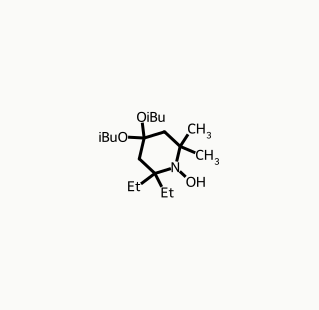 CCC1(CC)CC(OCC(C)C)(OCC(C)C)CC(C)(C)N1O